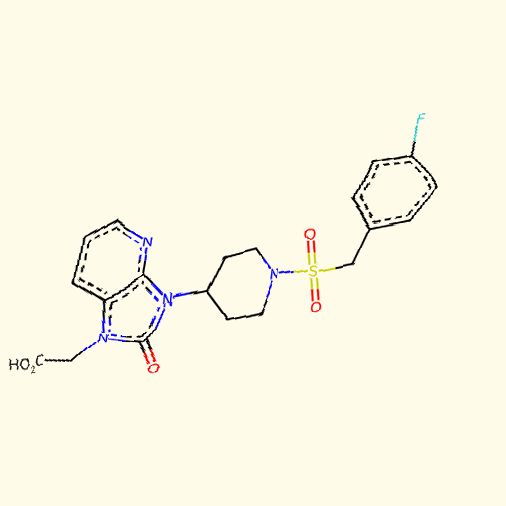 O=C(O)Cn1c(=O)n(C2CCN(S(=O)(=O)Cc3ccc(F)cc3)CC2)c2ncccc21